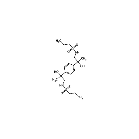 CCCS(=O)(=O)NCC(C)(O)c1ccc(C(C)(O)CNS(=O)(=O)CCC)cc1